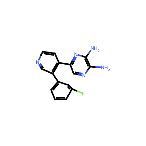 Nc1ncc(-c2ccncc2-c2cccc(F)c2)nc1N